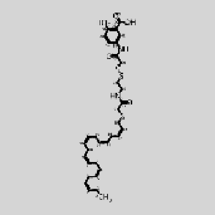 CC/C=C\C/C=C\C/C=C\C/C=C\C/C=C\C/C=C\CSCC(=O)NCCSSCC(=O)Nc1ccc(O)c(C(=O)O)c1